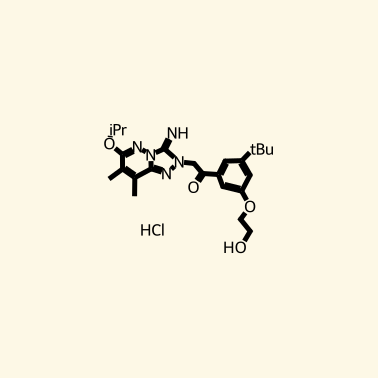 Cc1c(OC(C)C)nn2c(=N)n(CC(=O)c3cc(OCCO)cc(C(C)(C)C)c3)nc2c1C.Cl